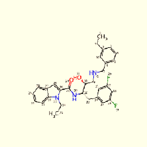 CCc1cccc(CNC[C@H](O)[C@H](Cc2cc(F)cc(F)c2)NC(=O)c2cc3ccccc3n2CC)c1